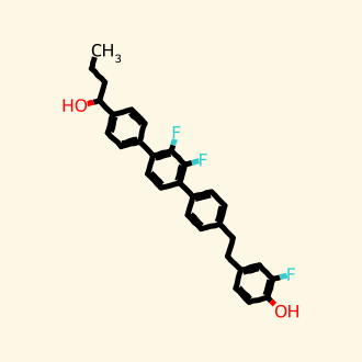 CCCC(O)c1ccc(-c2ccc(-c3ccc(CCc4ccc(O)c(F)c4)cc3)c(F)c2F)cc1